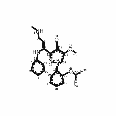 CNC/C=C(\Nc1ccccc1)c1nn(-c2ccccc2OC(F)F)cc(OC)c1=O